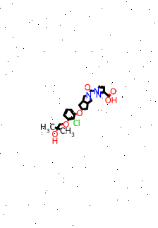 CC(C)(O)COc1cccc(OC2CC3CN(C(=O)n4ccc(C(=O)O)n4)CC3C2)c1Cl